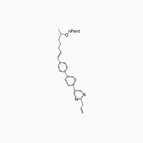 C=CCc1ncc(-c2ccc(-c3ccc(/C=C/CCCC(C)OCCCCC)cc3)cc2)cn1